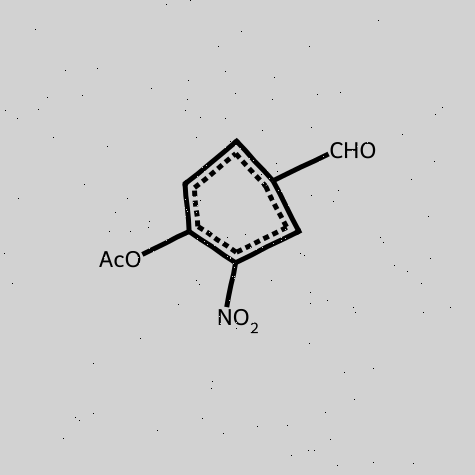 CC(=O)Oc1ccc(C=O)cc1[N+](=O)[O-]